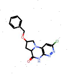 O=C1Nc2nnc(Cl)cc2N2CC(OCc3ccccc3)CC12